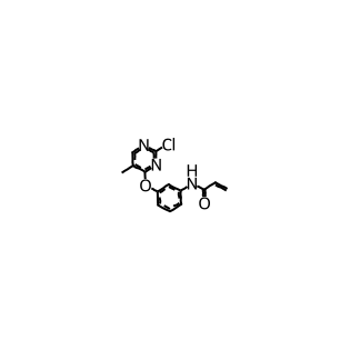 C=CC(=O)Nc1cccc(Oc2nc(Cl)ncc2C)c1